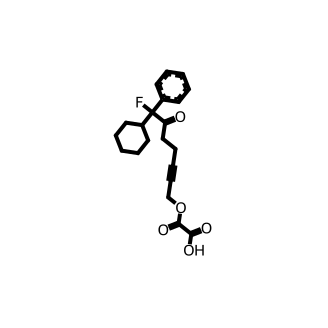 O=C(O)C(=O)OCC#CCCC(=O)C(F)(c1ccccc1)C1CCCCC1